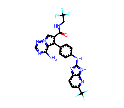 Nc1ncnn2cc(C(=O)NCC(F)(F)F)c(-c3ccc(Nc4nc5ccc(C(F)(F)F)nc5[nH]4)cc3)c12